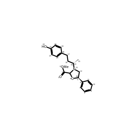 COC(=O)C1O[C@H](c2ccccc2)CN1[C@@H](C)CCc1ccc(O)cc1